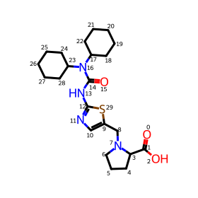 O=C(O)C1CCCN1Cc1cnc(NC(=O)N(C2CCCCC2)C2CCCCC2)s1